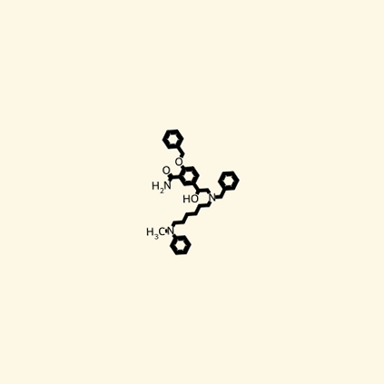 CN(CCCCCCN(Cc1ccccc1)CC(O)c1ccc(OCc2ccccc2)c(C(N)=O)c1)c1ccccc1